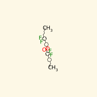 CCCCCc1ccc(C2CCC(OC(=O)c3ccc(C4CCC(CCC)CC4)c(F)c3F)CC2)c(F)c1F